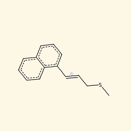 CSC/C=C/c1cccc2ccccc12